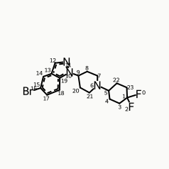 FC1(F)CCC(N2CCC(n3ncc4cc(Br)ccc43)CC2)CC1